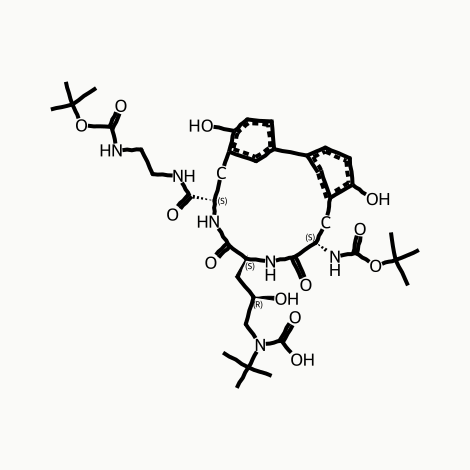 CC(C)(C)OC(=O)NCCNC(=O)[C@@H]1Cc2cc(ccc2O)-c2ccc(O)c(c2)C[C@H](NC(=O)OC(C)(C)C)C(=O)N[C@@H](C[C@@H](O)CN(C(=O)O)C(C)(C)C)C(=O)N1